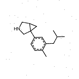 Cc1ccc(C23CNCC2C3)cc1CC(C)C